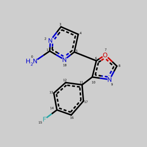 Nc1nccc(-c2ocnc2-c2ccc(F)cc2)n1